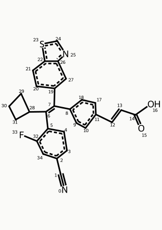 N#Cc1ccc(/C(=C(\c2ccc(/C=C/C(=O)O)cc2)c2ccc3scnc3c2)C2CCC2)c(F)c1